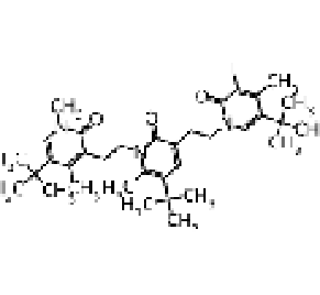 Cc1c(C(C)(C)C)cn(C)c(=O)c1CCn1c(C)c(C(C)(C)C)cc(CCn2cc(C(C)(C)C)c(C)c(I)c2=O)c1=O